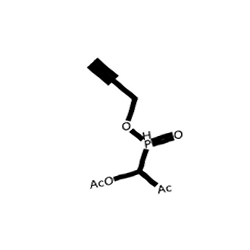 C#CCO[PH](=O)C(OC(C)=O)C(C)=O